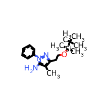 Cc1c(CCO[Si](C)(C)C(C)(C)C)nn(-c2ccccc2)c1N